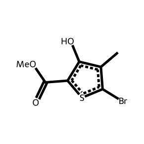 COC(=O)c1sc(Br)c(C)c1O